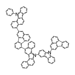 c1ccc(-n2c3ccccc3c3ccc4c(-c5cc6c7c(cccc7c5)-c5c(-c7cc8c9c%10ccccc%10ccc9n(-c9ccc%10c(c9)c9ccccc9n%10-c9cc%10c%11c(cccc%11c9)-c9ccccc9-%10)c8c8ccccc78)cccc5-6)cccc4c32)cc1